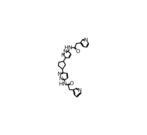 O=C(Cc1cccnc1)Nc1ccc(C2CCC(c3ccc(NC(=O)Cc4cccnc4)nn3)C2)nn1